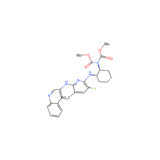 CC(C)(C)OC(=O)N(C(=O)OC(C)(C)C)[C@H]1CCCC[C@H]1Nc1nc(Nc2cnc3ccccc3c2)c(C(=O)O)cc1F